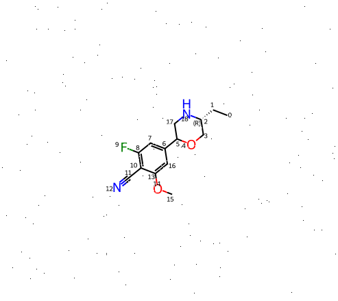 CC[C@@H]1COC(c2cc(F)c(C#N)c(OC)c2)CN1